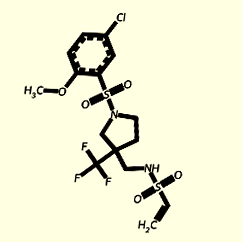 C=CS(=O)(=O)NCC1(C(F)(F)F)CCN(S(=O)(=O)c2cc(Cl)ccc2OC)C1